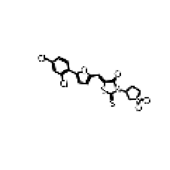 O=C1C(=Cc2ccc(-c3ccc(Cl)cc3Cl)o2)SC(=S)N1C1CCS(=O)(=O)C1